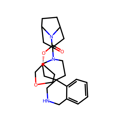 O=C(O[C@@H]1CCOC1)N1C2CCC1CC(N1CCC3(CC1)CNCc1ccccc13)C2